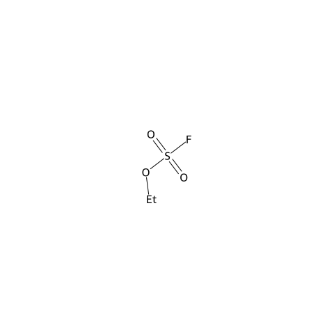 CCOS(=O)(=O)F